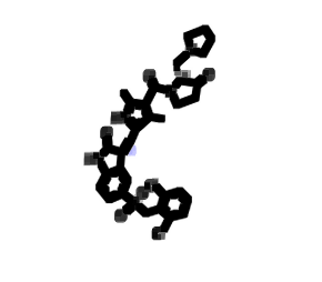 Cc1[nH]c(/C=C2\C(=O)Nc3ccc(S(=O)(=O)Cc4c(Cl)cccc4Cl)cc32)c(C)c1C(=O)N1CCC(=O)[C@H]1CN1CCCC1